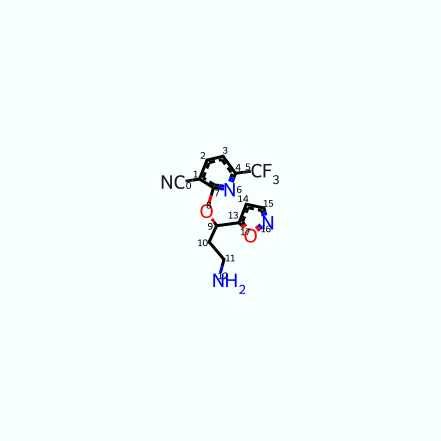 N#Cc1ccc(C(F)(F)F)nc1OC(CCN)c1ccno1